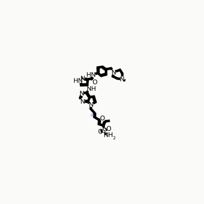 Cc1oc(/C=C/Cn2ccc3c(Nc4c[nH]nc4C(=O)Nc4ccc(CN5CCN(C)CC5)cc4)ncnc32)cc1S(N)(=O)=O